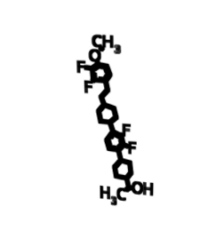 CCOc1ccc(CCC2CCC(c3ccc(C4CCC(C(C)O)CC4)c(F)c3F)CC2)c(F)c1F